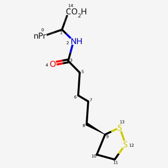 CCCC(NC(=O)CCCC[C@@H]1CCSS1)C(=O)O